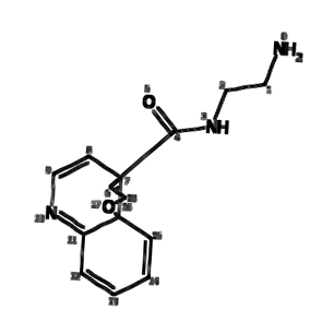 NCCNC(=O)C1=C2C=CN=C3C=CC=CC32OC1